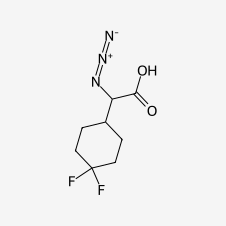 [N-]=[N+]=NC(C(=O)O)C1CCC(F)(F)CC1